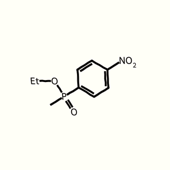 CCOP(C)(=O)c1ccc([N+](=O)[O-])cc1